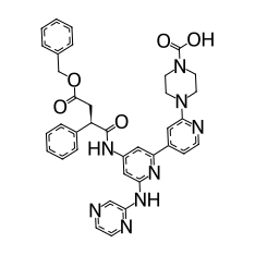 O=C(C[C@@H](C(=O)Nc1cc(Nc2cnccn2)nc(-c2ccnc(N3CCN(C(=O)O)CC3)c2)c1)c1ccccc1)OCc1ccccc1